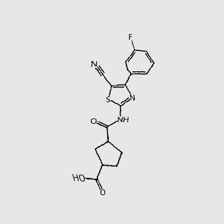 N#Cc1sc(NC(=O)C2CCC(C(=O)O)C2)nc1-c1cccc(F)c1